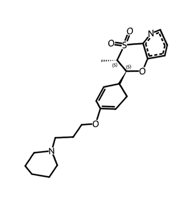 C[C@H]1[C@H](C2C=CC(OCCCN3CCCCC3)=CC2)Oc2cccnc2S1(=O)=O